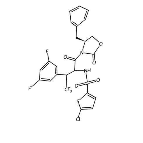 O=C1OC[C@H](Cc2ccccc2)N1C(=O)C(NS(=O)(=O)c1ccc(Cl)s1)C(c1cc(F)cc(F)c1)C(F)(F)F